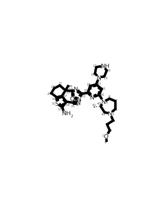 COCCCN1CCCN(c2cc(N3CCNCC3)cc(-c3noc(C4(C)CCCc5sc(N)c(C#N)c54)n3)n2)[C@@H](C)C1